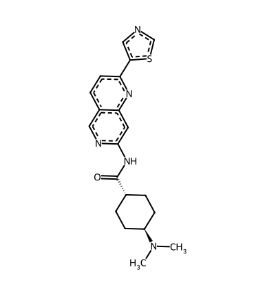 CN(C)[C@H]1CC[C@H](C(=O)Nc2cc3nc(-c4cncs4)ccc3cn2)CC1